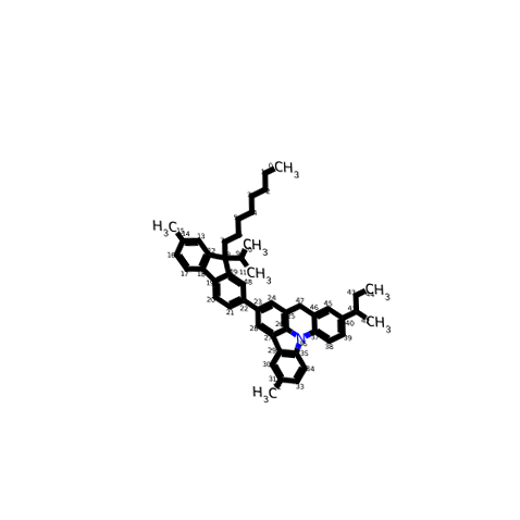 CCCCCCCCC1(C(C)C)c2cc(C)ccc2-c2ccc(-c3cc4c5c(c3)c3cc(C)ccc3n5-c3ccc(C(C)CC)cc3C4)cc21